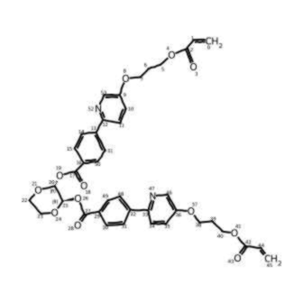 C=CC(=O)OCCCOc1ccc(-c2ccc(C(=O)O[C@H]3OCCO[C@@H]3OC(=O)c3ccc(-c4ccc(OCCCOC(=O)C=C)cn4)cc3)cc2)nc1